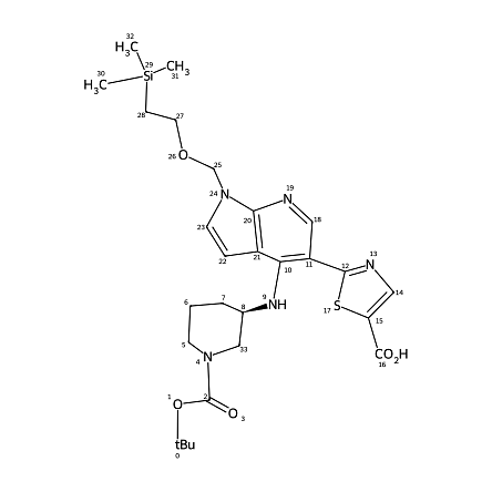 CC(C)(C)OC(=O)N1CCC[C@@H](Nc2c(-c3ncc(C(=O)O)s3)cnc3c2ccn3COCC[Si](C)(C)C)C1